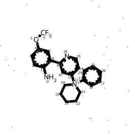 Nc1ccc(OC(F)(F)F)cc1-c1cc([N+]2(c3ccccc3)CCCCC2)ccn1